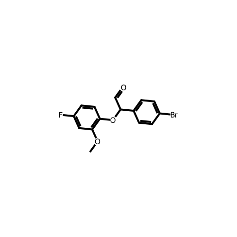 COc1cc(F)ccc1OC(C=O)c1ccc(Br)cc1